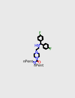 CCCCCN(CCCCC)C(=O)N1CCN(CCNC(c2ccc(F)cc2)c2ccc(F)cc2)CC1